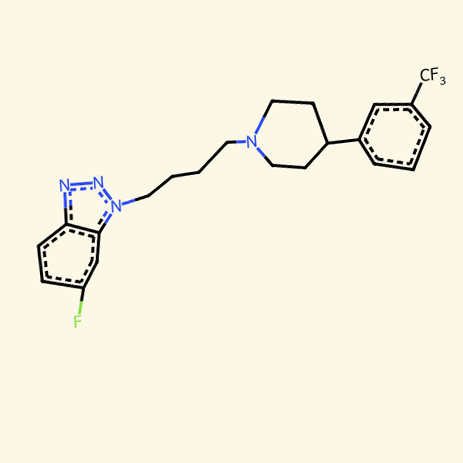 Fc1ccc2nnn(CCCCN3CCC(c4cccc(C(F)(F)F)c4)CC3)c2c1